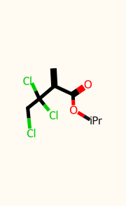 C=C(C(=O)OC(C)C)C(Cl)(Cl)CCl